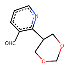 O=Cc1cccnc1C1COCOC1